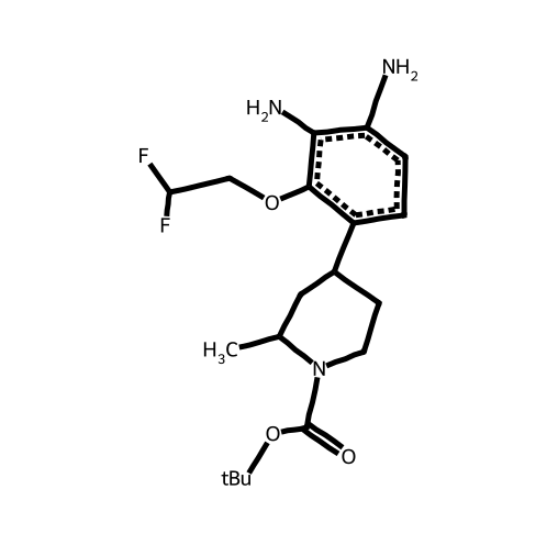 CC1CC(c2ccc(N)c(N)c2OCC(F)F)CCN1C(=O)OC(C)(C)C